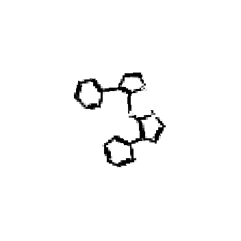 c1ccc(-c2ccsc2Sc2sccc2-c2ccccc2)cc1